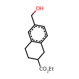 CCOC(=O)C1CCc2cc(CO)ccc2C1